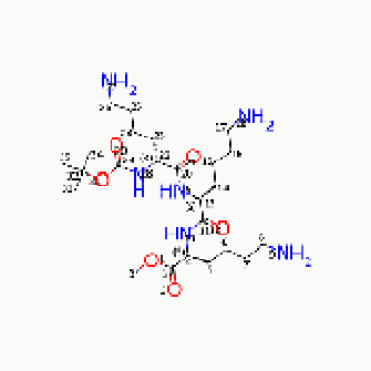 COC(=O)[C@H](CCCCN)NC(=O)[C@H](CCCCN)NC(=O)[C@@H](CCCCN)NC(=O)OC(C)(C)C